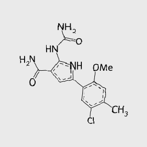 COc1cc(C)c(Cl)cc1-c1cc(C(N)=O)c(NC(N)=O)[nH]1